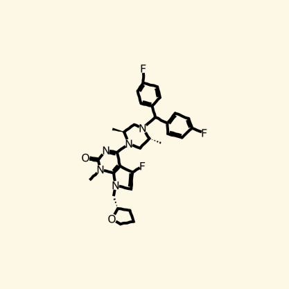 C[C@@H]1CN(c2nc(=O)n(C)c3c2c(F)cn3C[C@@H]2CCCO2)[C@@H](C)CN1C(c1ccc(F)cc1)c1ccc(F)cc1